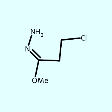 COC(CCCl)=NN